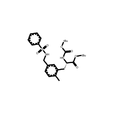 Cc1ccc(CNS(=O)(=O)c2ccccc2)cc1C[C@H](NC(=O)OC(C)(C)C)C(=O)OC(C)(C)C